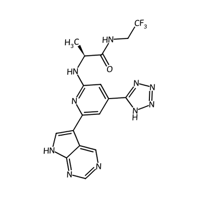 C[C@H](Nc1cc(-c2nnn[nH]2)cc(-c2c[nH]c3ncncc23)n1)C(=O)NCC(F)(F)F